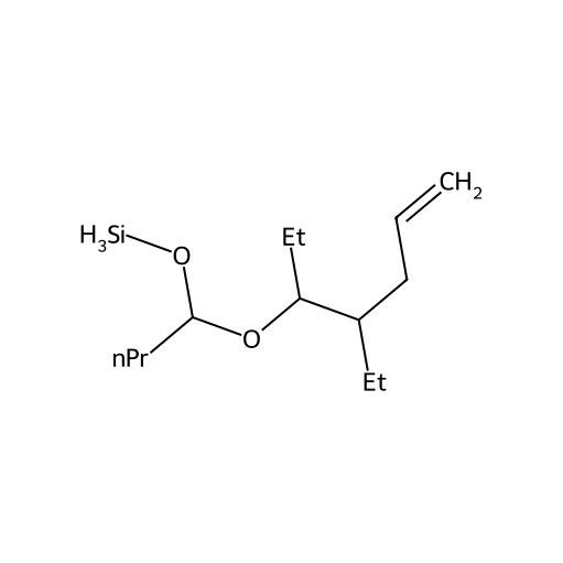 C=CCC(CC)C(CC)OC(CCC)O[SiH3]